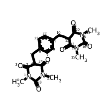 CN1C(=O)C(Cc2ccc(CC3C(=O)N(C)C(=O)N(C)C3=O)cc2)C(=O)N(C)C1=O